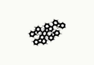 c1ccc2c(c1)oc1c(-c3ccc4c5c(-c6cccc7c6oc6ccccc67)c6c(cc7c8ccccc8c8cccc6c87)c(-c6cccc7c6oc6ccccc67)c5c5cccc3c54)cccc12